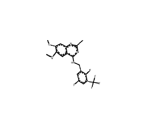 COc1cc2nc(C)nc(NCc3cc(F)cc(C(F)(F)F)c3F)c2cc1OC